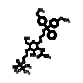 COc1ccc(C(OCCOC2OC(CO)C(OCCOP(=O)(O)C(C)(C)C)C(O)C2NC(C)=O)(c2ccccc2)c2ccc(OC)cc2)cc1